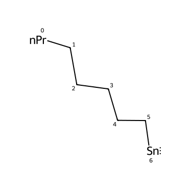 CCCCCCC[CH2][Sn]